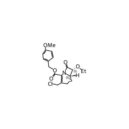 CCO[C@H]1C(=O)N2C(C(=O)OCc3ccc(OC)cc3)=C(CCl)CS[C@@H]12